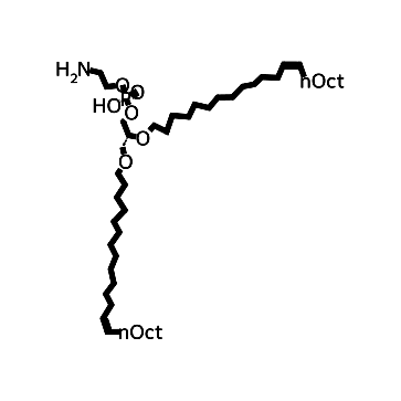 CCCCCCCC/C=C\CCCCCCCCCCCCOC[C@H](COP(=O)(O)OCCN)OCCCCCCCCCCCC/C=C\CCCCCCCC